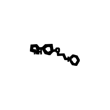 c1c[nH]c(-c2ccc(OCCCN3CCCCC3)cc2)c1